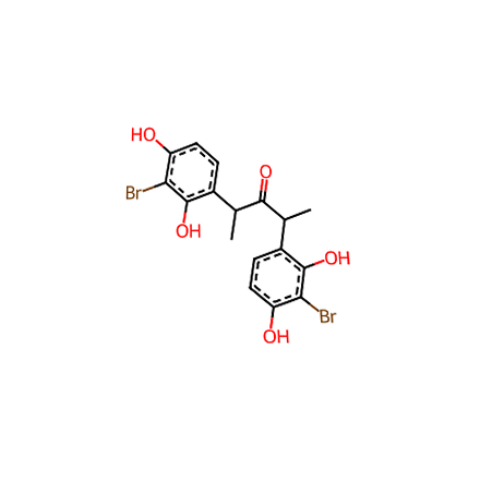 CC(C(=O)C(C)c1ccc(O)c(Br)c1O)c1ccc(O)c(Br)c1O